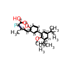 COc1c(-c2ccc3oc(/C(C)=C(/F)C(=O)O)cc3c2)cc(C(C)C)cc1C(C)C